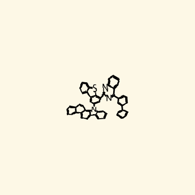 c1ccc(-c2cccc(-c3nc(-c4cc(-n5c6ccccc6c6ccc7c8ccccc8ccc7c65)cc5c4sc4ccccc45)nc4ccccc34)c2)cc1